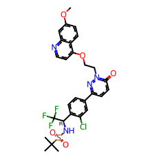 COc1ccc2c(OCCn3nc(-c4ccc([C@@H](NS(=O)(=O)C(C)(C)C)C(F)(F)F)c(Cl)c4)ccc3=O)ccnc2c1